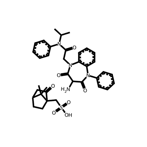 CC(C)N(C(=O)CN1C(=O)C(N)C(=O)N(c2ccccc2)c2ccccc21)c1ccccc1.CC1(C)C2CCC1(CS(=O)(=O)O)C(=O)C2